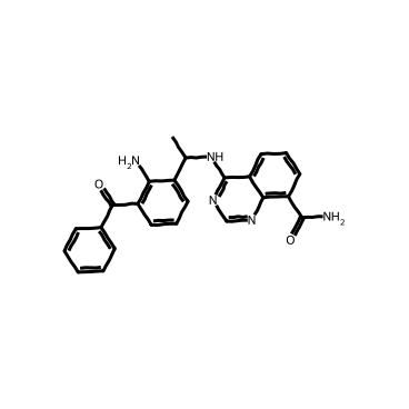 CC(Nc1ncnc2c(C(N)=O)cccc12)c1cccc(C(=O)c2ccccc2)c1N